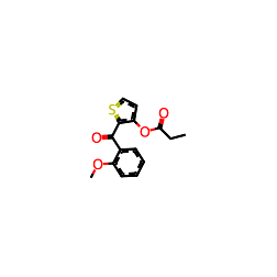 CCC(=O)Oc1ccsc1C(=O)c1ccccc1OC